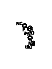 CC(C)(C)c1noc(N2CCC(N(C(=O)c3cc(-c4ccc(C#N)cc4F)on3)C3CC3)CC2)n1